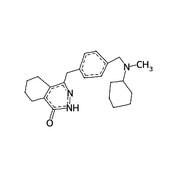 CN(Cc1ccc(Cc2n[nH]c(=O)c3c2CCCC3)cc1)C1CCCCC1